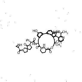 CCn1c(-c2cccnc2[C@H](C)OC)c2c3cc(ccc31)-c1cc(O)cc(c1)C[C@H](NC(=O)[C@H](C(C)C)N1CCC3(CCN(C(=O)[C@H]4CN4)C3)C1=O)C(=O)N1CCC[C@H](N1)C(=O)OCC(C)(C)C2